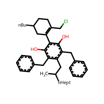 CCCCCCCC(C)Cc1c(Cc2ccccc2)c(O)c(C2=C(CCl)CCC(CCCC)C2)c(O)c1Cc1ccccc1